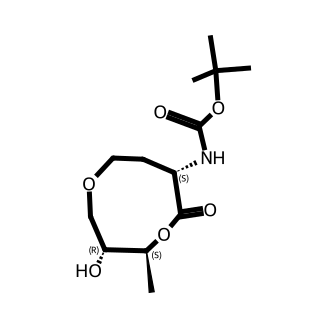 C[C@@H]1OC(=O)[C@@H](NC(=O)OC(C)(C)C)CCOC[C@H]1O